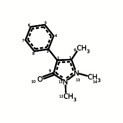 Cc1c(-c2ccccc2)c(=O)n(C)n1C